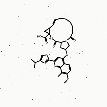 COc1ccc2c(OC3CC4C(=O)NC5(C(=O)O)CC5/C=C/CCCCCC(=O)N4C3)cc(-c3nc(C(C)C)cs3)nc2c1C